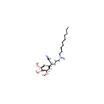 CCCCCCCCCCN(C)CCCC(C#N)c1cc(OC)c(OC)c(OC)c1